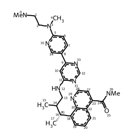 CNCCN(C)c1ccc(-c2cc(NCC(C)[C@@H](C)c3cccc4c(C(=O)NC)ccnc34)ncn2)cn1